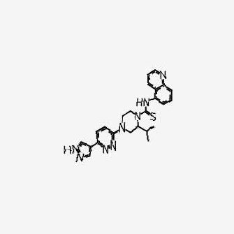 CC(C)C1CN(c2ccc(-c3cn[nH]c3)nn2)CCN1C(=S)Nc1cccc2ncccc12